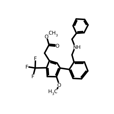 COC(=O)Cc1cc(-c2ccccc2CNCc2ccccc2)c(OC)cc1C(F)(F)F